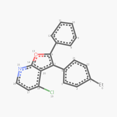 CCc1ccc(-c2c(-c3ccccc3)oc3nccc(Cl)c23)cc1